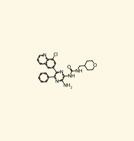 Nc1nc(-c2ccccc2)c(-c2cc(Cl)c3ncccc3c2)nc1NC(=O)NCC1CCOCC1